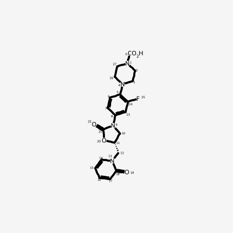 O=C(O)N1CCN(c2ccc(N3C[C@H](Cn4ccccc4=O)OC3=O)cc2F)CC1